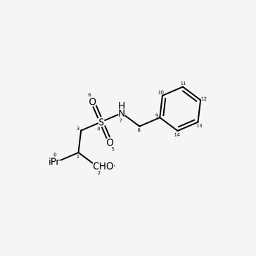 CC(C)C([C]=O)CS(=O)(=O)NCc1ccccc1